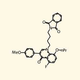 CCCOc1ccc(F)c2c(=O)c(-c3ccc(OC)cc3)cn(CCCCN3C(=O)c4ccccc4C3=O)c12